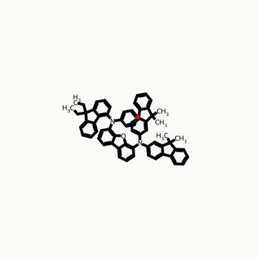 CCC1(CC)c2ccccc2-c2c(N(c3ccccc3)c3cccc4c3oc3c(N(c5ccc6c(c5)C(C)(C)c5ccccc5-6)c5ccc6c(c5)C(C)(C)c5ccccc5-6)cccc34)cccc21